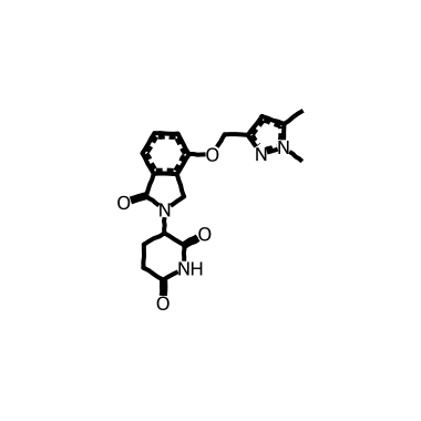 Cc1cc(COc2cccc3c2CN(C2CCC(=O)NC2=O)C3=O)nn1C